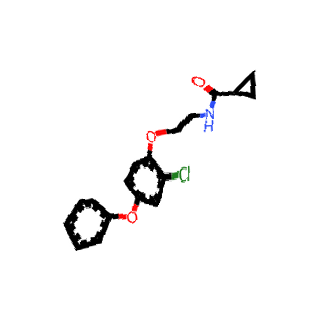 O=C(NCCOc1ccc(Oc2ccccc2)cc1Cl)C1CC1